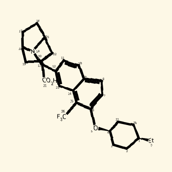 CC[C@H]1CC[C@@H](Oc2ccc3ccc(CN4C5CCC4CC(C(=O)O)C5)cc3c2C(F)(F)F)CC1